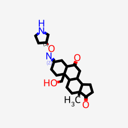 CC12CCC3C(CC(=O)C4C/C(=N\O[C@H]5CCNC5)CCC43CO)C1CCC2=O